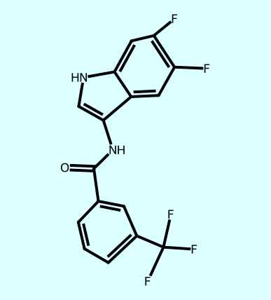 O=C(Nc1c[nH]c2cc(F)c(F)cc12)c1cccc(C(F)(F)F)c1